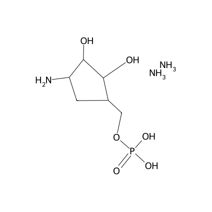 N.N.NC1CC(COP(=O)(O)O)C(O)C1O